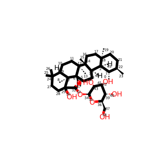 C[C@@H]1[C@H]2[C@H]3CC[C@@H]4[C@]5(C)[C@@H](CC[C@@]4(C)[C@]3(C)CC[C@@]2(C)CC[C@H]1C)C(C)(C)CCC5(O)C(=O)O[C@@H]1O[C@H](CO)[C@@H](O)[C@H](O)[C@H]1O